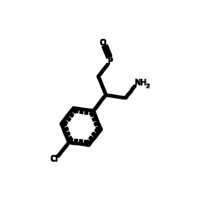 NCC(CP=O)c1ccc(Cl)cc1